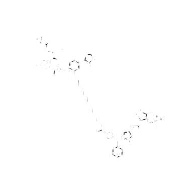 Cc1ncsc1-c1ccc(CNC(=O)[C@@H]2C[C@@H](O)CN2C(=O)C(NC(=O)C2(F)CC2)C(C)(C)C)c(OCCOCCOCCOCCC(=O)N2CC([C@@H](c3ccccc3)n3cc(NC(=O)c4n[nH]c5c4C[C@@H]4C(F)(F)[C@]4(C)C5)cn3)C2)c1